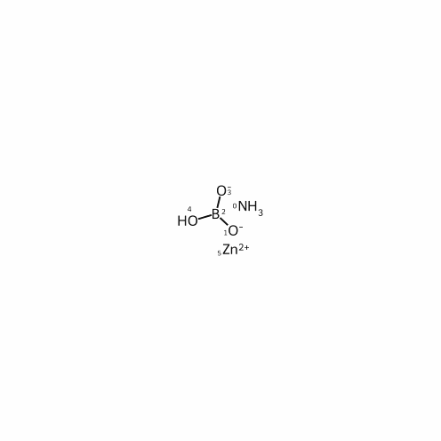 N.[O-]B([O-])O.[Zn+2]